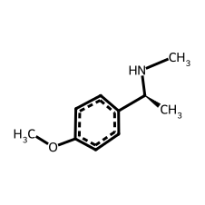 CN[C@@H](C)c1ccc(OC)cc1